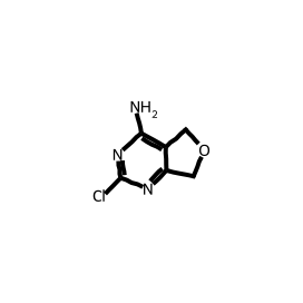 Nc1nc(Cl)nc2c1COC2